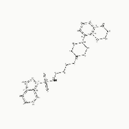 O=S(=O)(NCCCCN1CCN(c2cccc3c2OCCO3)CC1)c1csc2ccccc12